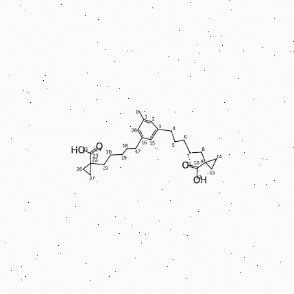 Cc1cc(CCCCCC2(C(=O)O)CC2)cc(CCCCCC2(C(=O)O)CC2)c1